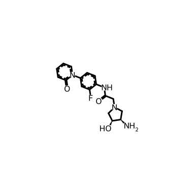 N[C@@H]1CN(CC(=O)Nc2ccc(-n3ccccc3=O)cc2F)C[C@@H]1O